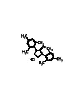 Cc1cc(C)c(N2CCN(c3c(C)cc(C)cc3C)[C]2=[Au])c(C)c1.Cl